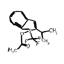 CC(=O)OS1(C(F)(F)F)C(C(C)C)=Cc2ccccc21